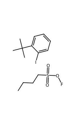 CC(C)(C)c1ccccc1I.CCCCS(=O)(=O)OF